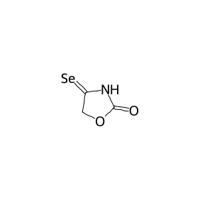 O=C1NC(=[Se])CO1